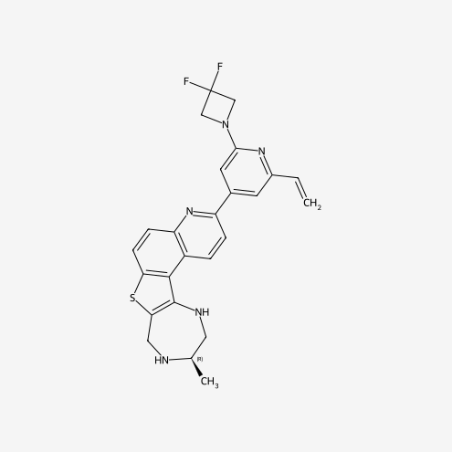 C=Cc1cc(-c2ccc3c(ccc4sc5c(c43)NC[C@@H](C)NC5)n2)cc(N2CC(F)(F)C2)n1